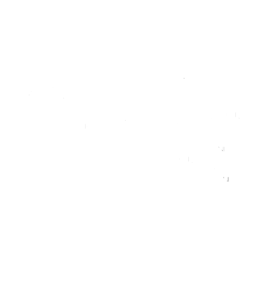 COC(=O)CC(O)CC(O)CCc1c(C)c(NC(=O)Nc2ccccc2)c(C)c2c1OC(C)(C)C2